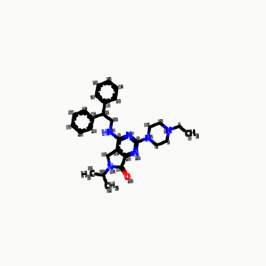 CCN1CCN(c2nc(NCC(c3ccccc3)c3ccccc3)c3c(n2)C(=O)N(C(C)C)C3)CC1